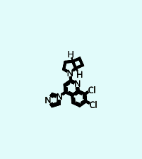 Clc1ccc2c(-n3ccnc3)cc(N3CC[C@@H]4CC[C@@H]43)nc2c1Cl